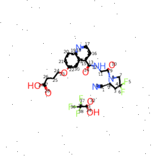 N#C[C@@H]1CC(F)(F)CN1C(=O)CNC(=O)c1ccnc2ccc(OCCCC(=O)O)cc12.O=C(O)C(F)(F)F